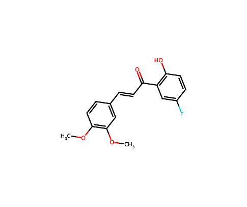 COc1ccc(C=CC(=O)c2cc(F)ccc2O)cc1OC